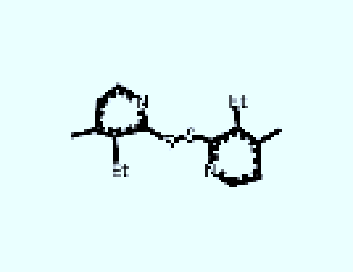 CCc1c(C)ccnc1SSc1nccc(C)c1CC